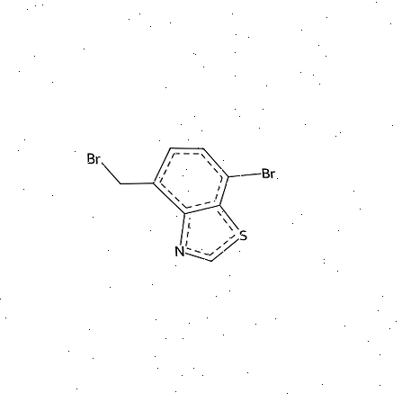 BrCc1ccc(Br)c2scnc12